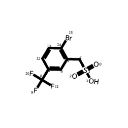 O=S(=O)(O)Cc1cc(C(F)(F)F)ccc1Br